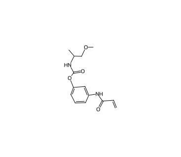 C=CC(=O)Nc1cccc(OC(=O)NC(C)COC)c1